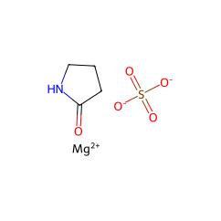 O=C1CCCN1.O=S(=O)([O-])[O-].[Mg+2]